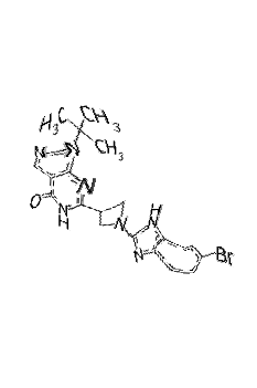 CC(C)(C)n1ncc2c(=O)[nH]c(C3CN(c4nc5ccc(Br)cc5[nH]4)C3)nc21